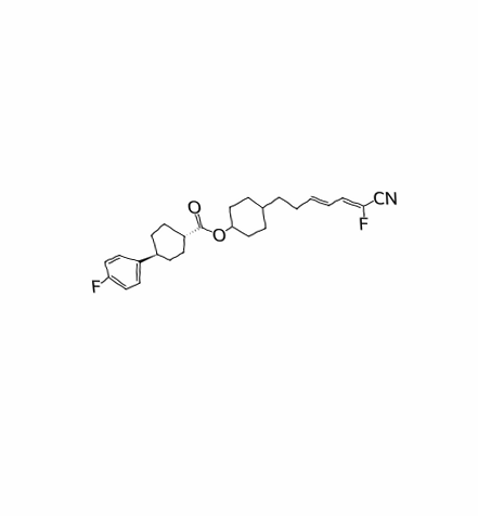 N#CC(F)=C/C=C/CCC1CCC(OC(=O)[C@H]2CC[C@H](c3ccc(F)cc3)CC2)CC1